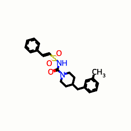 Cc1cccc(CC2CCN(C(=O)NS(=O)(=O)C=Cc3ccccc3)CC2)c1